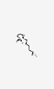 CCCCCCC1=NCCS1(=S)=S